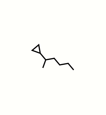 CCCCC(C)C1CC1